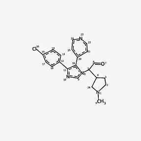 CN1CCC(C([C]=O)n2cnc(-c3ccc(Cl)cc3)c2-c2ccncc2)C1